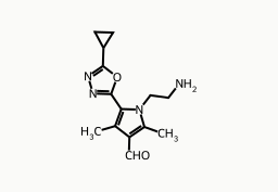 Cc1c(C=O)c(C)n(CCN)c1-c1nnc(C2CC2)o1